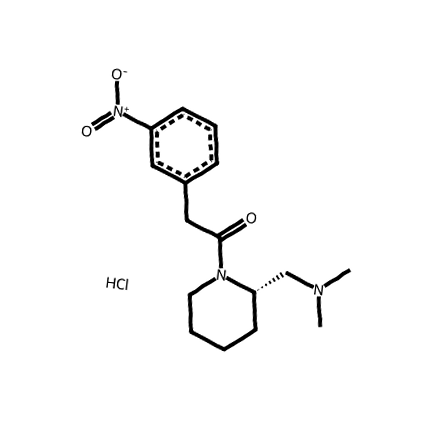 CN(C)C[C@@H]1CCCCN1C(=O)Cc1cccc([N+](=O)[O-])c1.Cl